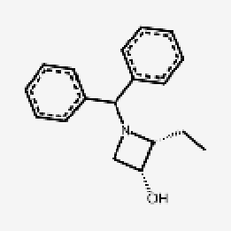 CC[C@@H]1[C@H](O)CN1C(c1ccccc1)c1ccccc1